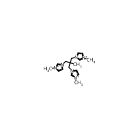 C[n+]1ccn(CC(C)(Cn2cc[n+](C)c2)Cn2cc[n+](C)c2)c1